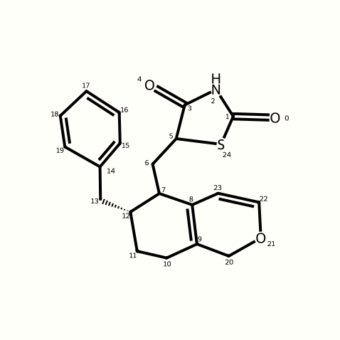 O=C1NC(=O)C(CC2C3=C(CC[C@@H]2Cc2ccccc2)COC=C3)S1